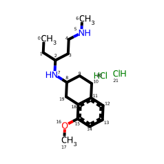 CCC(CCNC)NC1CCc2cccc(OC)c2C1.Cl.Cl